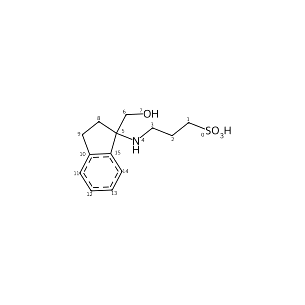 O=S(=O)(O)CCCNC1(CO)CCc2ccccc21